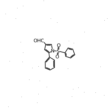 O=Cc1cc(-c2ccccc2)n(S(=O)(=O)c2ccccc2)c1